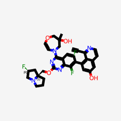 C#Cc1nccc2cc(O)cc(-c3c(F)cc4c(N5C=COCC(C)(O)C5)nc(OC[C@@]56CCCN5C[C@H](F)C6)nc4c3F)c12